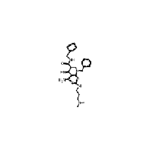 CN(C)CCCNc1nc(N)c2c(n1)N(Cc1ccccc1)CC(C(=O)NCc1ccccc1)C2=N